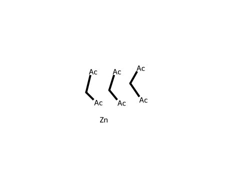 CC(=O)CC(C)=O.CC(=O)CC(C)=O.CC(=O)CC(C)=O.[Zn]